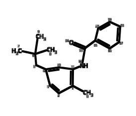 Cc1ccc(CC(C)(C)C)cc1NC(=O)c1ccccc1